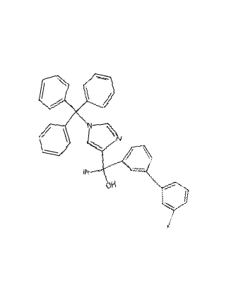 CC(C)C(O)(c1cccc(-c2cccc(F)c2)c1)c1cn(C(c2ccccc2)(c2ccccc2)c2ccccc2)cn1